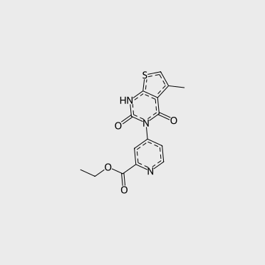 CCOC(=O)c1cc(-n2c(=O)[nH]c3scc(C)c3c2=O)ccn1